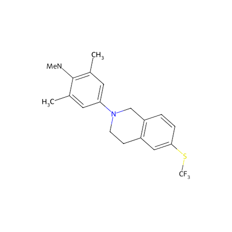 CNc1c(C)cc(N2CCc3cc(SC(F)(F)F)ccc3C2)cc1C